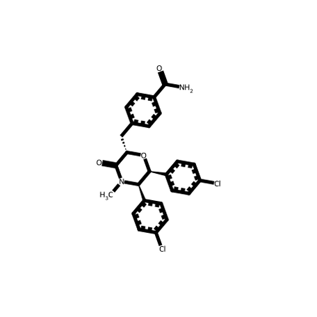 CN1C(=O)[C@H](Cc2ccc(C(N)=O)cc2)O[C@@H](c2ccc(Cl)cc2)[C@H]1c1ccc(Cl)cc1